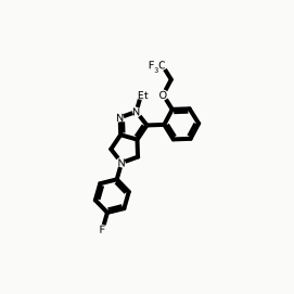 CCn1nc2c(c1-c1ccccc1OCC(F)(F)F)CN(c1ccc(F)cc1)C2